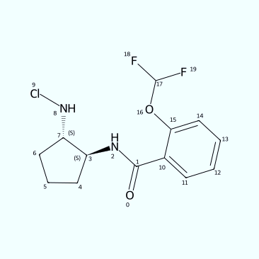 O=C(N[C@H]1CCC[C@@H]1NCl)c1ccccc1OC(F)F